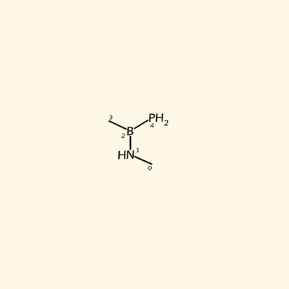 CNB(C)P